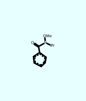 CON(C(=O)c1ccccc1)C(C)C